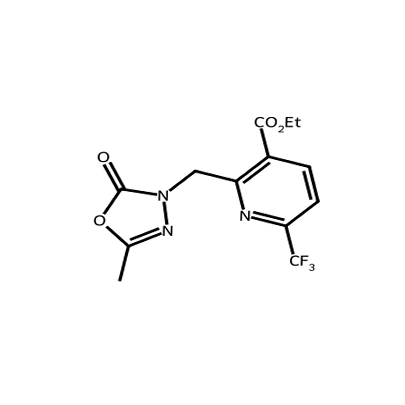 CCOC(=O)c1ccc(C(F)(F)F)nc1Cn1nc(C)oc1=O